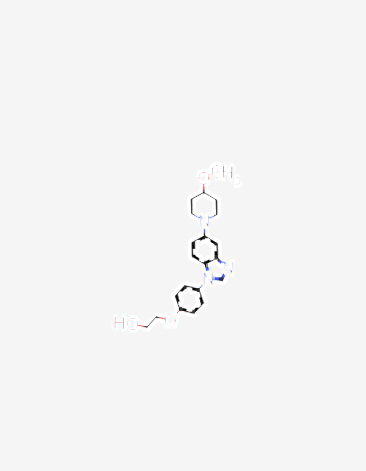 COC1CCN(c2ccc3c(c2)ncn3-c2ccc(OCCO)cc2)CC1